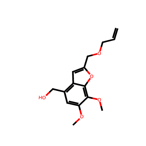 C=CCOCc1cc2c(CO)cc(OC)c(OC)c2o1